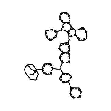 c1ccc(-c2ccc(N(c3ccc(C45CC6CC(CC(C6)C4)C5)cc3)c3ccc4cc(-n5c6ccccc6c6c7ccccc7n(-c7ccccc7)c65)ccc4c3)cc2)cc1